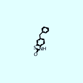 O=c1[nH]c2ccc(Cc3ccccc3)cc2s1